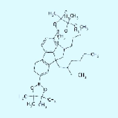 CCCCC(CC)CC1(CC(CC)CCCC)C2=C(CCC(B3OC(C)(C)C(C)(C)O3)=C2)c2ccc(B3OC(C)(C)C(C)(C)O3)cc21